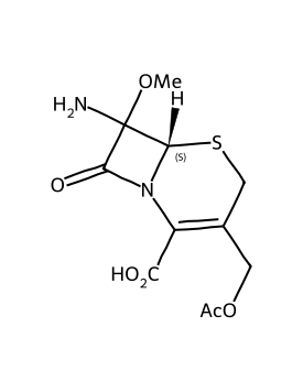 COC1(N)C(=O)N2C(C(=O)O)=C(COC(C)=O)CS[C@H]21